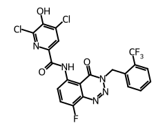 O=C(Nc1ccc(F)c2nnn(Cc3ccccc3C(F)(F)F)c(=O)c12)c1cc(Cl)c(O)c(Cl)n1